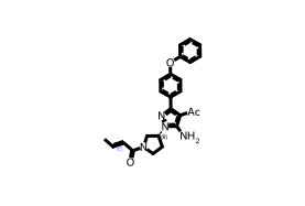 C/C=C/C(=O)N1CC[C@@H](n2nc(-c3ccc(Oc4ccccc4)cc3)c(C(C)=O)c2N)C1